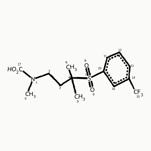 CN(CCC(C)(C)S(=O)(=O)c1cccc(C(F)(F)F)c1)C(=O)O